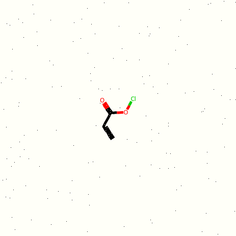 C=CC(=O)OCl